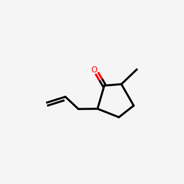 C=CCC1CCC(C)C1=O